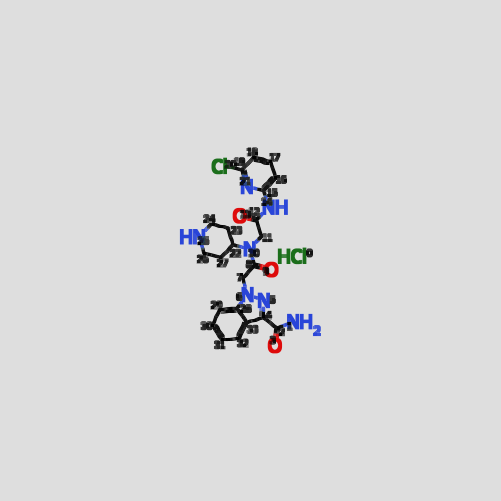 Cl.NC(=O)c1nn(CC(=O)N(CC(=O)Nc2cccc(Cl)n2)C2CCNCC2)c2ccccc12